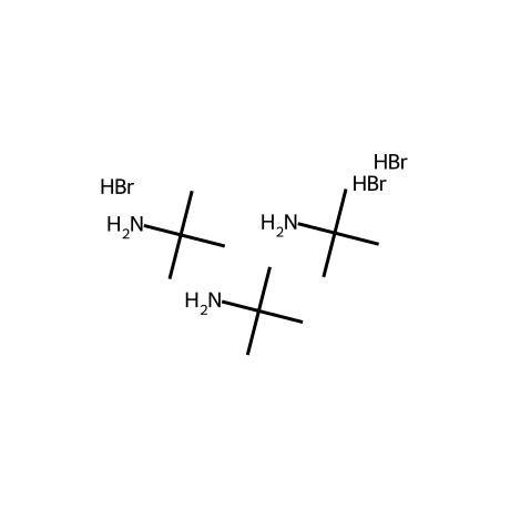 Br.Br.Br.CC(C)(C)N.CC(C)(C)N.CC(C)(C)N